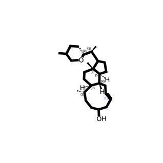 CC1CC[C@H]([C@@H](C)C2CC[C@H]3[C@@H]4C/C=C/CC(O)CC[C@H](C)[C@H]4CC[C@]23C)OC1